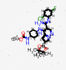 CC(C)(C)OC(=O)N[C@H]1CC[C@H](Nc2c(/C(N)=N/c3cc(F)ccc3Cl)cnn3cc(B4OC(C)(C)C(C)(C)O4)cc23)CC1